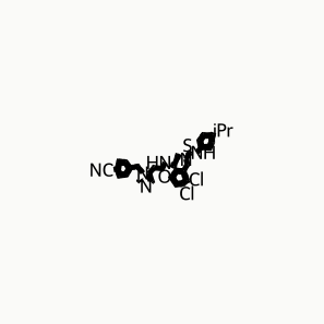 CC(C)c1ccc(NC(=S)N(CCNC(=O)Cc2cncn2Cc2ccc(C#N)cc2)Cc2cccc(Cl)c2Cl)cc1